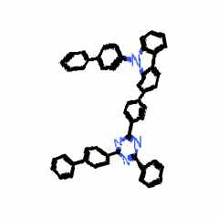 c1ccc(-c2ccc(-c3nc(-c4ccccc4)nc(-c4ccc(-c5ccc6c7ccccc7n(-c7ccc(-c8ccccc8)cc7)c6c5)cc4)n3)cc2)cc1